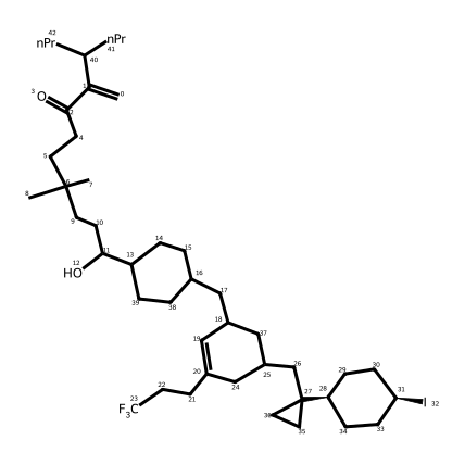 C=C(C(=O)CCC(C)(C)CCC(O)C1CCC(CC2C=C(CCC(F)(F)F)CC(CC3([C@H]4CC[C@@H](I)CC4)CC3)C2)CC1)C(CCC)CCC